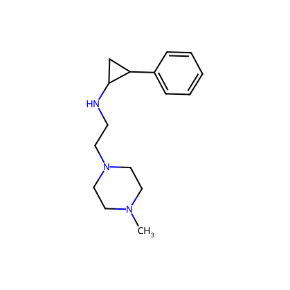 CN1CCN(CCNC2CC2c2ccccc2)CC1